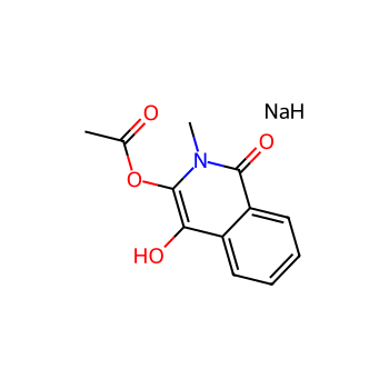 CC(=O)Oc1c(O)c2ccccc2c(=O)n1C.[NaH]